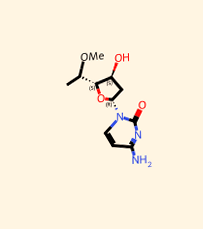 COC(C)[C@H]1O[C@@H](n2ccc(N)nc2=O)C[C@@H]1O